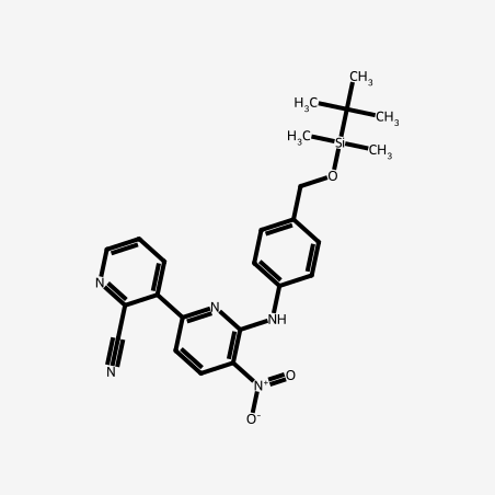 CC(C)(C)[Si](C)(C)OCc1ccc(Nc2nc(-c3cccnc3C#N)ccc2[N+](=O)[O-])cc1